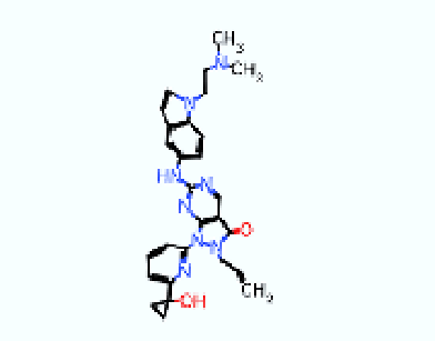 C=CCn1c(=O)c2cnc(Nc3ccc4c(ccn4CCN(C)C)c3)nc2n1-c1cccc(C2(O)CC2)n1